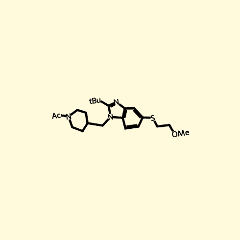 COCCSc1ccc2c(c1)nc(C(C)(C)C)n2CC1CCN(C(C)=O)CC1